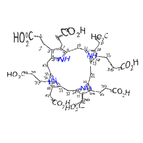 O=C(O)CCc1c2[nH]c(c1CC(=O)O)Cc1[nH]c(c(CCC(=O)O)c1CC(=O)O)Cc1[nH]c(c(CC(=O)O)c1CCC(=O)O)Cc1[nH]c(c(CCC(=O)O)c1CC(=O)O)C2